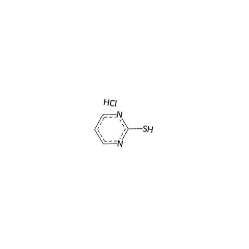 Cl.Sc1ncccn1